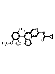 COc1ccc(C)c(-c2cc3cnc(NC(=O)C4CC4)cc3n3ccnc23)c1C